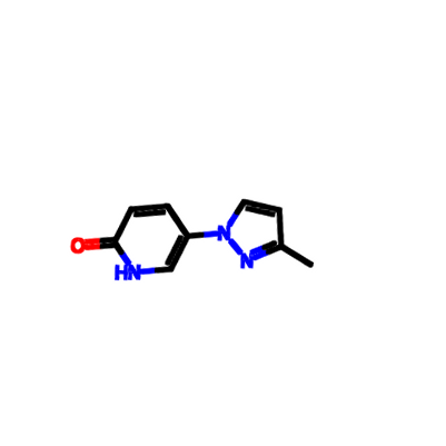 Cc1ccn(-c2ccc(=O)[nH]c2)n1